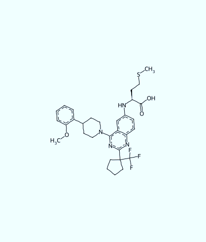 COc1ccccc1C1CCN(c2nc(C3(C(F)(F)F)CCCC3)nc3ccc(N[C@@H](CCSC)C(=O)O)cc23)CC1